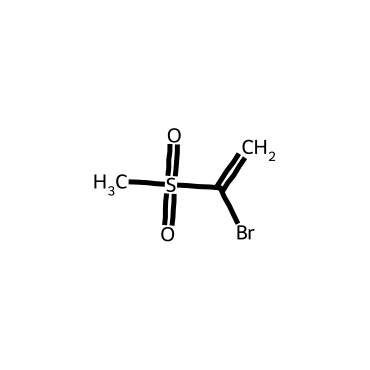 C=C(Br)S(C)(=O)=O